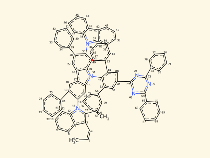 C=Cc1c(/C=C\C)c2ccccc2n1-c1cc2c(cc1-c1ccccc1)c1cc(-c3ccccc3)c(-n3c4ccccc4c4ccccc43)cc1n2-c1c(-c2ccccc2)cc(-c2nc(-c3ccccc3)nc(-c3ccccc3)n2)cc1-c1ccccc1